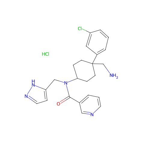 Cl.NCC1(c2cccc(Cl)c2)CCC(N(Cc2ccn[nH]2)C(=O)c2cccnc2)CC1